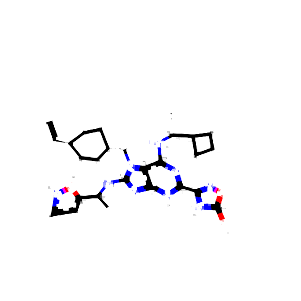 C=C[C@H]1CC[C@H](Cn2c(NC(C)c3ccno3)nc3nc(-c4noc(=O)[nH]4)nc(N[C@H](C)C4CCC4)c32)CC1